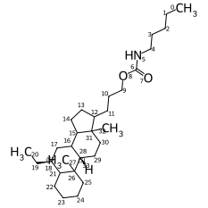 CCCCCNC(=O)OCCCC1CCC2C3C[C@H](CC)C4CCCCC4(C)[C@H]3CCC12C